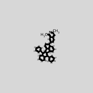 Cc1cc2ccc(-c3ccc4c5c(cccc35)-c3c-4c(-c4ccccc4)c4ccccc4c3-c3ccccc3)cc2c(C)n1